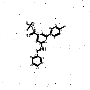 Cc1ccc(-c2cc(C(=O)OC(C)(C)C)cc(NCc3ccccc3)n2)cc1